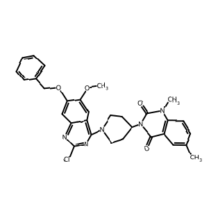 COc1cc2c(N3CCC(n4c(=O)c5cc(C)ccc5n(C)c4=O)CC3)nc(Cl)nc2cc1OCc1ccccc1